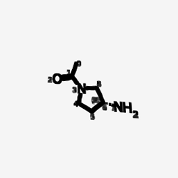 CC(=O)N1CC[C@@H](N)C1